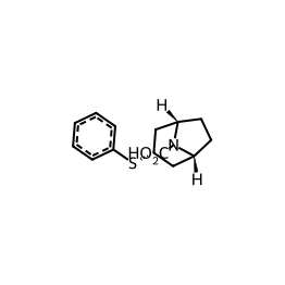 O=C(O)N1[C@@H]2CC[C@H]1C[C@@H](Sc1ccccc1)C2